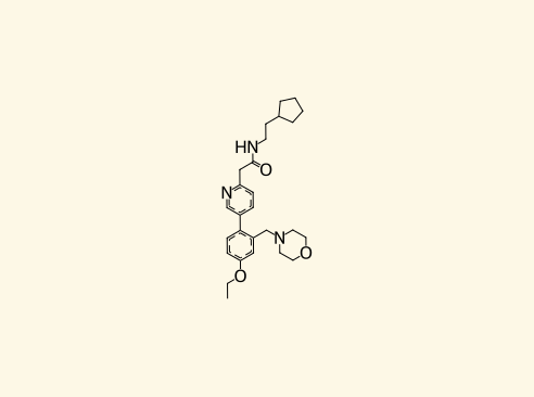 CCOc1ccc(-c2ccc(CC(=O)NCCC3CCCC3)nc2)c(CN2CCOCC2)c1